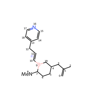 C=C(C)CC1CCC(NC)B(/C=C/Cc2ccncc2)C1